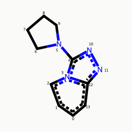 c1ccn2c(N3CCCC3)nnc2c1